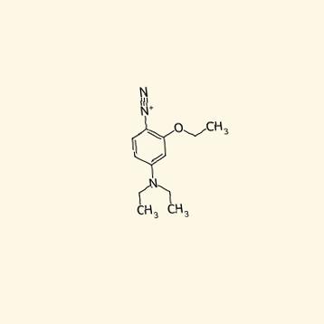 CCOc1cc(N(CC)CC)ccc1[N+]#N